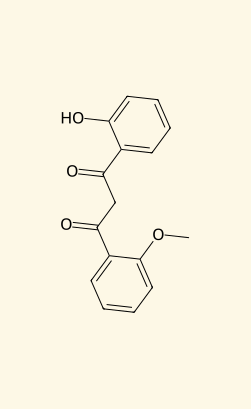 COc1ccccc1C(=O)CC(=O)c1ccccc1O